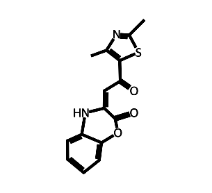 Cc1nc(C)c(C(=O)C=C2Nc3ccccc3OC2=O)s1